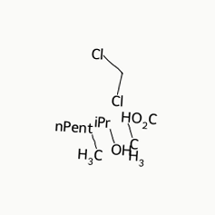 CC(=O)O.CC(C)O.CCCCCC.ClCCl